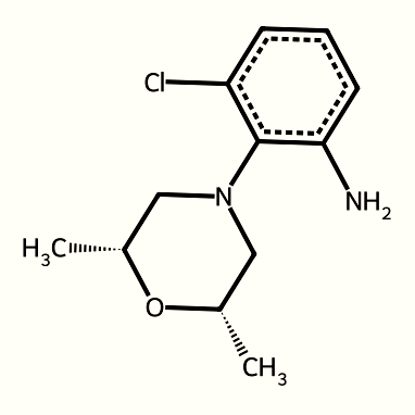 C[C@@H]1CN(c2c(N)cccc2Cl)C[C@H](C)O1